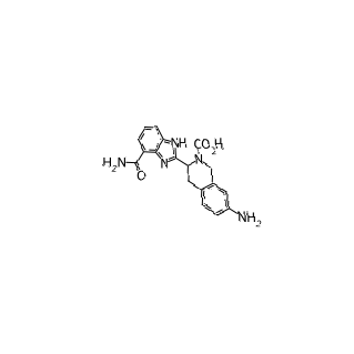 NC(=O)c1cccc2[nH]c(C3Cc4ccc(N)cc4CN3C(=O)O)nc12